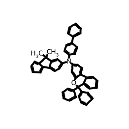 CC1(C)c2ccccc2-c2ccc(N(c3ccc(-c4ccccc4)cc3)c3ccc4c(c3)OC(c3ccccc3)(c3ccccc3)c3ccccc3-4)cc21